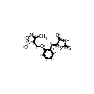 Cc1no[n+]([O-])c1COc1ccccc1/C=C1\SC(=S)NC1=O